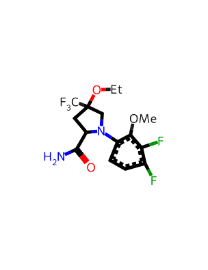 CCOC1(C(F)(F)F)CC(C(N)=O)N(c2ccc(F)c(F)c2OC)C1